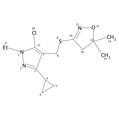 CCn1nc(C2CC2)c(CSC2=NOC(C)(C)C2)c1Cl